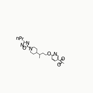 CCCc1noc(N2CCC(C(C)CCOc3ccc(S(C)(=O)=O)cn3)CC2)n1